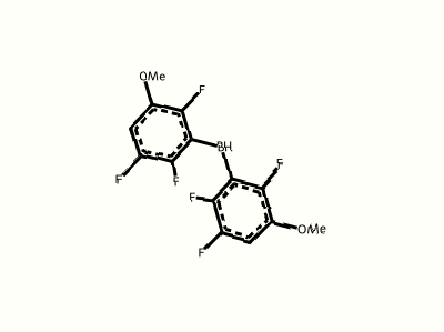 COc1cc(F)c(F)c(Bc2c(F)c(F)cc(OC)c2F)c1F